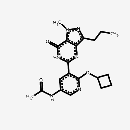 CCCc1nn(C)c2c(=O)[nH]c(-c3cc(NC(C)=O)cnc3OC3CCC3)nc12